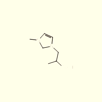 CC(CN1C=CN(C)C1)S(=O)(=O)O